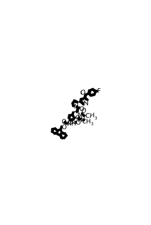 C[C@@H](C(=O)N[C@@H](Cc1ccc(NC(=O)OCC2c3ccccc3-c3ccccc32)cc1)C(=O)N1CCC[C@H]1c1cncc(C(=O)c2ccc(F)cc2)c1)N(C)C(=O)OC(C)(C)C